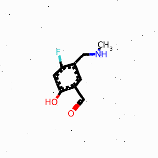 CNCc1cc(C=O)c(O)cc1F